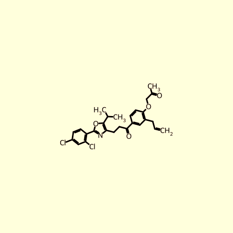 C=CCc1cc(C(=O)CCc2nc(-c3ccc(Cl)cc3Cl)oc2C(C)C)ccc1OCC(C)=O